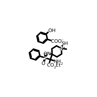 CCOC(=O)C(N)(C1(N=O)CC[N+](C)(S)CC1)S(=O)(=O)c1ccccc1.O=C([O-])c1ccccc1O